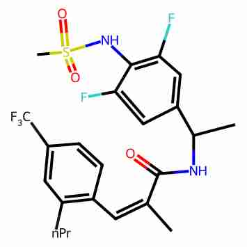 CCCc1cc(C(F)(F)F)ccc1C=C(C)C(=O)NC(C)c1cc(F)c(NS(C)(=O)=O)c(F)c1